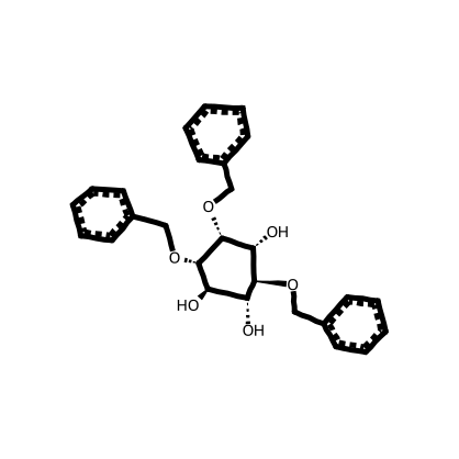 O[C@@H]1[C@@H](O)[C@H](OCc2ccccc2)[C@H](OCc2ccccc2)[C@H](O)[C@H]1OCc1ccccc1